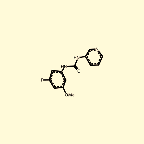 COc1cc(F)cc(NC(=O)Nc2cccnc2)c1